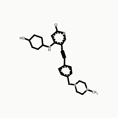 CN1CCN(Cc2ccc(C#Cc3cnc(Cl)cc3NC3CCC(O)CC3)cc2)CC1